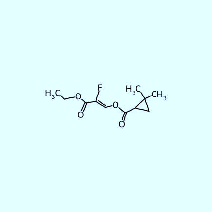 CCOC(=O)C(F)=COC(=O)C1CC1(C)C